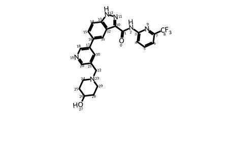 O=C(Nc1cccc(C(F)(F)F)n1)c1n[nH]c2ccc(-c3cncc(CN4CCC(O)CC4)c3)cc12